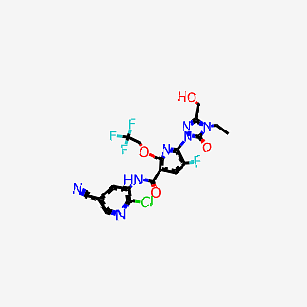 CCn1c(CO)nn(-c2nc(OCC(F)(F)F)c(C(=O)Nc3cc(C#N)cnc3Cl)cc2F)c1=O